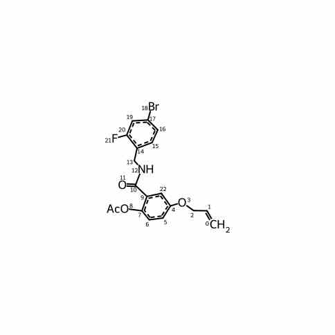 C=CCOc1ccc(OC(C)=O)c(C(=O)NCc2ccc(Br)cc2F)c1